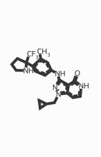 Cc1cc(Nc2nn(CC3CC3)c3cc[nH]c(=O)c23)ccc1C1(C(F)(F)F)CCCN1